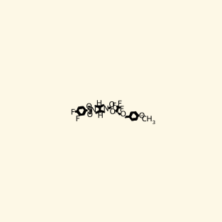 COc1ccc(COC[C@@H](OC(=O)N2C[C@@H]3CN(S(=O)(=O)c4ccc(F)c(F)c4)C[C@@H]3C2)C(F)(F)F)cc1